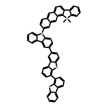 C[Si]1(C)c2ccccc2-c2ccc3cc4ccc(-n5c6ccccc6c6cc(-c7ccc8oc9c(-c%10cccc%11c%10sc%10ccccc%10%11)cccc9c8c7)ccc65)cc4cc3c21